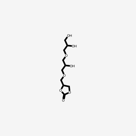 O=C1OCC(COCC(O)COCC(O)CO)O1